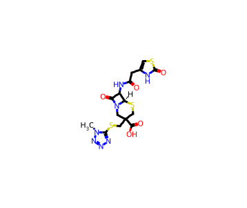 Cn1nnnc1SCC1(C(=O)O)CS[C@@H]2C(NC(=O)Cc3csc(=O)[nH]3)C(=O)N2C1